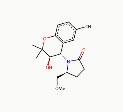 COC[C@@H]1CCC(=O)N1[C@H]1c2cc(C#N)ccc2OC(C)(C)[C@@H]1O